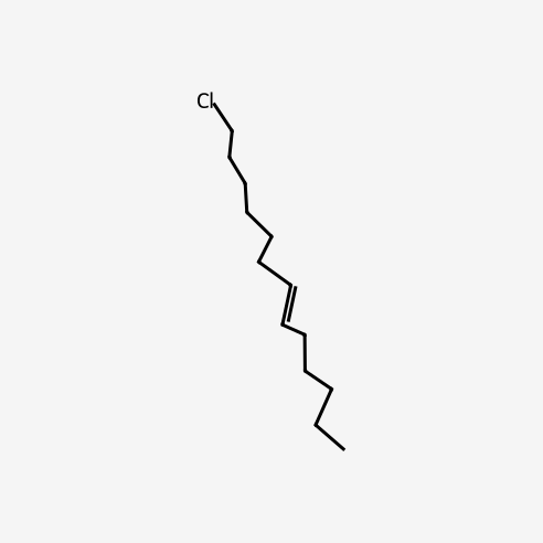 CCCCCC=CCCCCCCCl